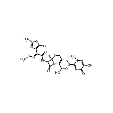 CON=C(C(=O)NC1C(=O)N2C(C(=O)O)=C(CSc3nc(=O)c(O)nn3C)CS[C@@H]12)c1nc(N)sc1Cl